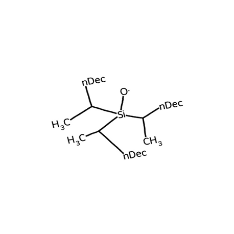 CCCCCCCCCCC(C)[Si]([O])(C(C)CCCCCCCCCC)C(C)CCCCCCCCCC